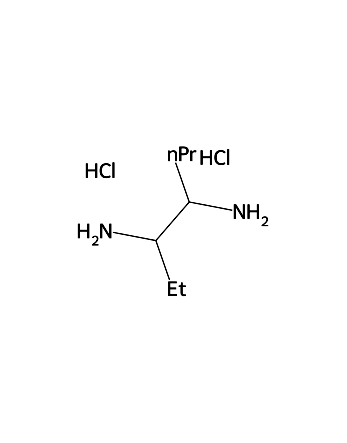 CCCC(N)C(N)CC.Cl.Cl